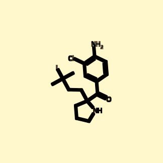 CC(C)(I)CCC1(C(=O)c2ccc(N)c(Cl)c2)CCCN1